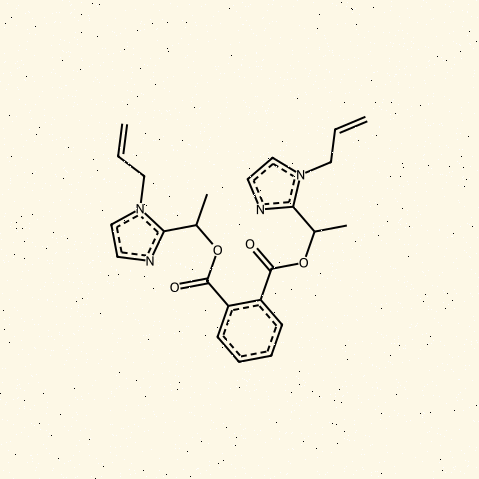 C=CCn1ccnc1C(C)OC(=O)c1ccccc1C(=O)OC(C)c1nccn1CC=C